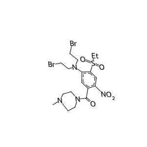 CCS(=O)(=O)c1cc([N+](=O)[O-])c(C(=O)N2CCN(C)CC2)cc1N(CCBr)CCBr